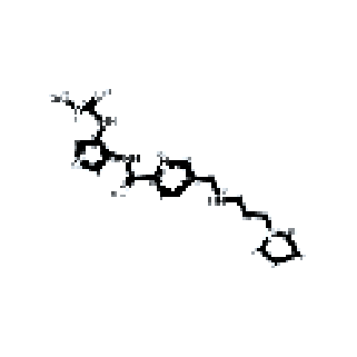 CC(C)(C)OC(=O)Nc1cscc1NC(=O)c1ccc(CNCCCN2CCCC2)cn1